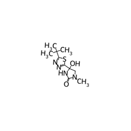 CN1CC(O)(c2nnc(C(C)(C)C)s2)NC1=O